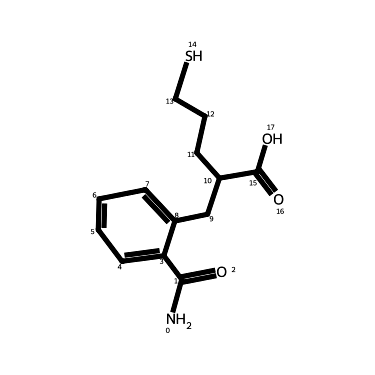 NC(=O)c1ccccc1CC(CCCS)C(=O)O